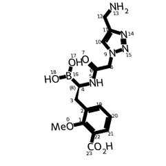 COc1c(C[C@H](NC(=O)Cn2cc(CN)nn2)B(O)O)cccc1C(=O)O